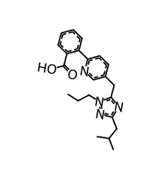 CCCn1nc(CC(C)C)nc1Cc1ccc(-c2ccccc2C(=O)O)nc1